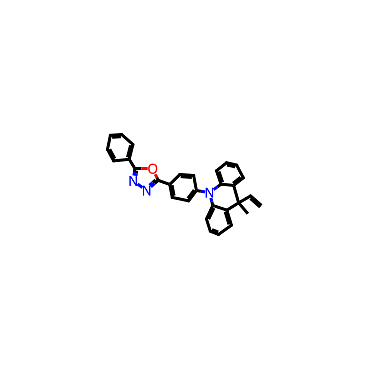 C=CC1(C)c2ccccc2N(c2ccc(-c3nnc(-c4ccccc4)o3)cc2)c2ccccc21